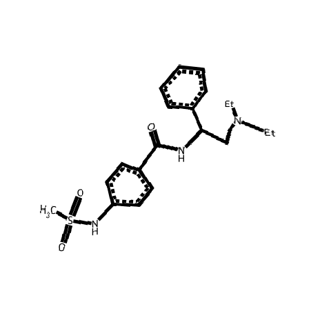 CCN(CC)CC(NC(=O)c1ccc(NS(C)(=O)=O)cc1)c1ccccc1